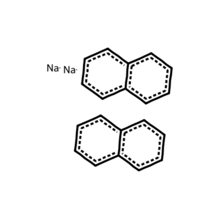 [Na].[Na].c1ccc2ccccc2c1.c1ccc2ccccc2c1